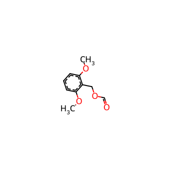 COc1cccc(OC)c1COC=O